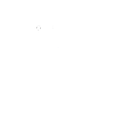 CC(=O)/C=C/C1CC=CCC1